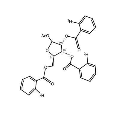 [2H]c1ccccc1C(=O)OC[C@H]1OC(OC(C)=O)[C@H](OC(=O)c2ccccc2[2H])[C@@H]1OC(=O)c1ccccc1[2H]